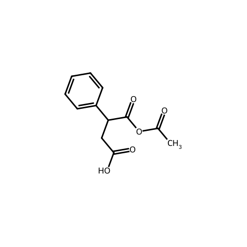 CC(=O)OC(=O)C(CC(=O)O)c1ccccc1